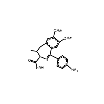 CNC(=O)N1N=C(c2ccc(N)cc2)c2cc(OC)c(OC)cc2CC1C